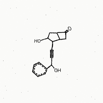 O=C1CC2C1CC(O)C2C#CC(O)c1ccccc1